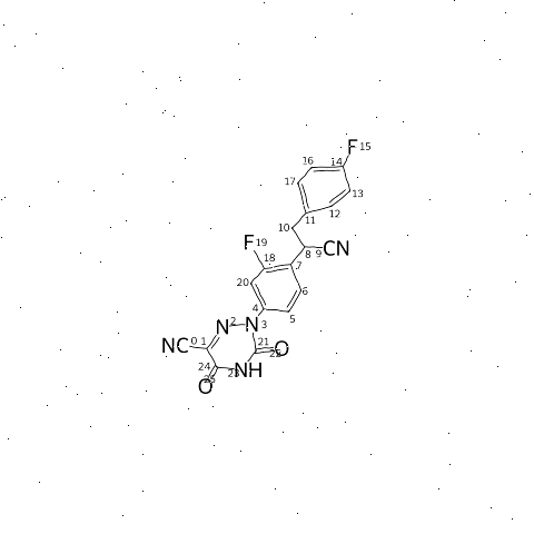 N#Cc1nn(-c2ccc(C(C#N)Cc3ccc(F)cc3)c(F)c2)c(=O)[nH]c1=O